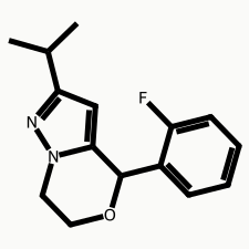 CC(C)c1cc2n(n1)CCOC2c1ccccc1F